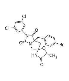 C[C@H]1O[C@@]2(CN3C(=O)N(c4cc(Cl)cc(Cl)c4)C(=O)[C@]3(Cc3ccc(Br)cc3)C2)NC1=O